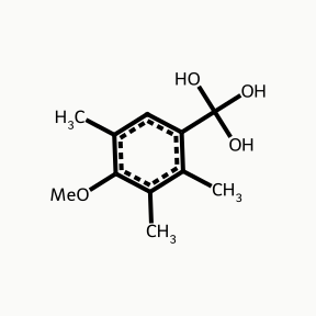 COc1c(C)cc(C(O)(O)O)c(C)c1C